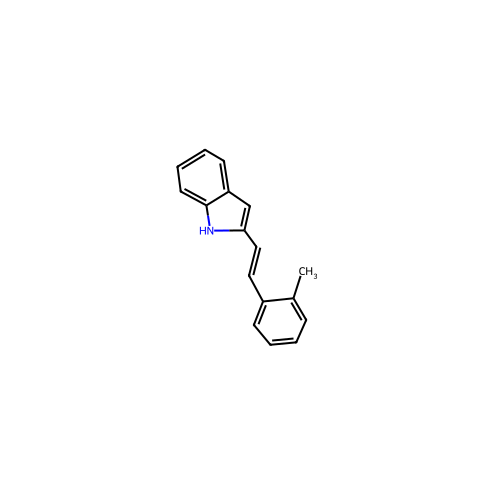 Cc1ccccc1/C=C/c1cc2ccccc2[nH]1